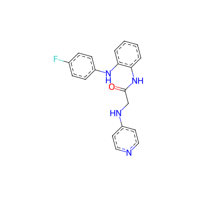 O=C(CNc1ccncc1)Nc1ccccc1Nc1ccc(F)cc1